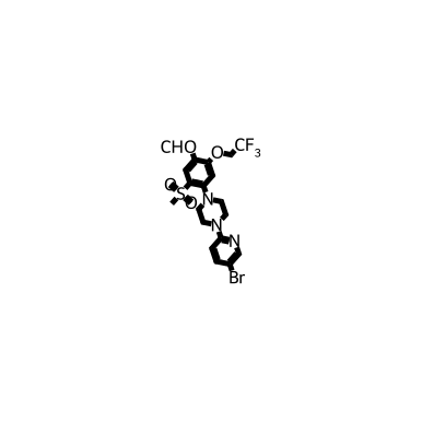 CS(=O)(=O)c1cc(C=O)c(OCC(F)(F)F)cc1N1CCN(c2ccc(Br)cn2)CC1